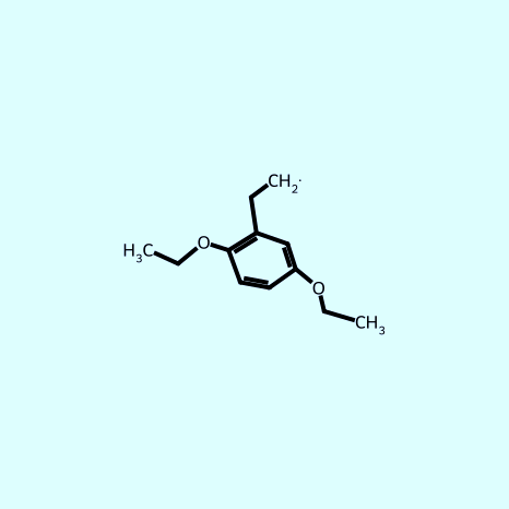 [CH2]Cc1cc(OCC)ccc1OCC